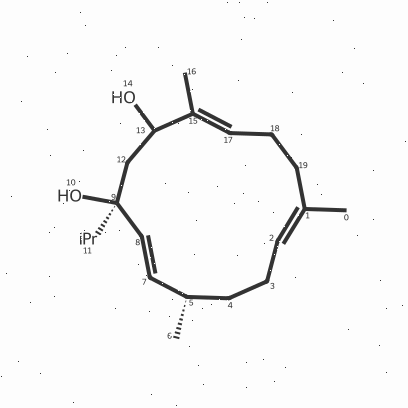 C/C1=C\CC[C@H](C)/C=C/[C@](O)(C(C)C)CC(O)/C(C)=C/CC1